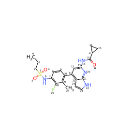 CCCS(=O)(=O)Nc1ccc(-c2cc(NC(=O)C3CC3)nc3[nH]ccc23)c(C)c1F